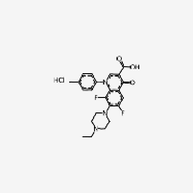 CCN1CCN(c2c(F)cc3c(=O)c(C(=O)O)cn(-c4ccc(C)cc4)c3c2F)CC1.Cl